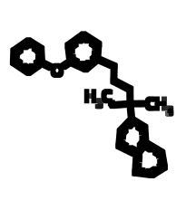 CCC(C)(CCCc1cccc(Oc2ccccc2)c1)c1ccc2ccccc2c1